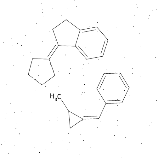 CC1CC1=Cc1ccccc1.c1ccc2c(c1)CCC2=C1CCCC1